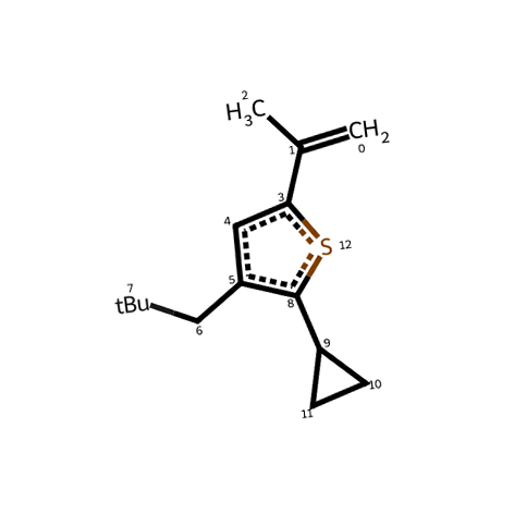 C=C(C)c1cc(CC(C)(C)C)c(C2CC2)s1